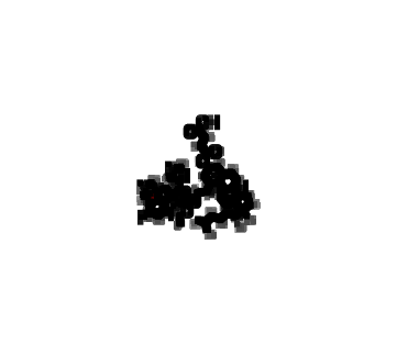 CCOP(=O)(OCCC1C[C@H](OC(=O)CCC(=O)O)CC2=CC[C@@H]3[C@@H]4CC[C@](C)([C@H](C)CCCC(C)C)[C@@]4(C)CC[C@@H]3[C@]21C)OC(Cn1cncn1)(Cn1cncn1)c1ccc(F)cc1F